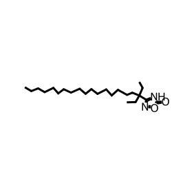 CCCCCCCCCCCCCCCCCC(CC)(CC)c1noc(=O)[nH]1